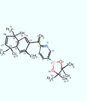 C=C(c1ccc(B2OC(C)(C)C(C)(C)O2)cn1)c1cc2c(cc1C)C(C)(C)C=CC2(C)C